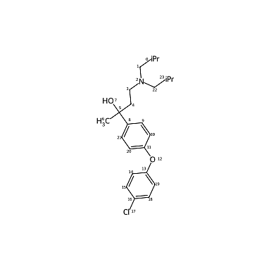 CC(C)CN(CCC(C)(O)c1ccc(Oc2ccc(Cl)cc2)cc1)CC(C)C